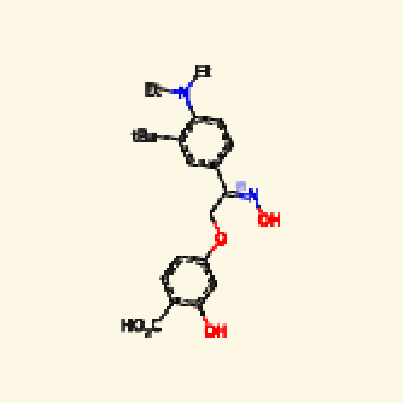 CCN(CC)c1ccc(/C(COc2ccc(C(=O)O)c(O)c2)=N/O)cc1C(C)(C)C